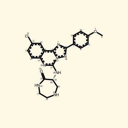 COc1ccc(-c2nc3c4cc(Cl)ccc4nc(N[C@@H]4CNCCNC4=O)n3n2)cc1